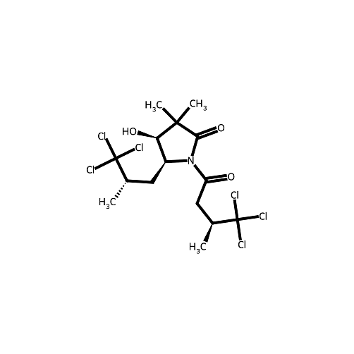 C[C@@H](CC(=O)N1C(=O)C(C)(C)[C@H](O)[C@@H]1C[C@H](C)C(Cl)(Cl)Cl)C(Cl)(Cl)Cl